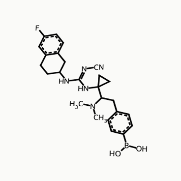 CN(C)C(Cc1ccc(B(O)O)cc1)C1(NC(=NC#N)NC2CCc3cc(F)ccc3C2)CC1